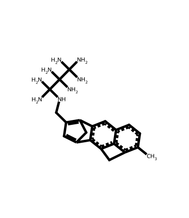 Cc1ccc2cc3c(c4c2c1C4)C1=CC(CNC(N)(N)C(N)(N)C(N)(N)N)=C3C1